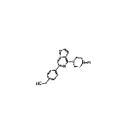 CCN1CCN(c2nc(-c3ccc(CO)cc3)cc3sccc23)CC1